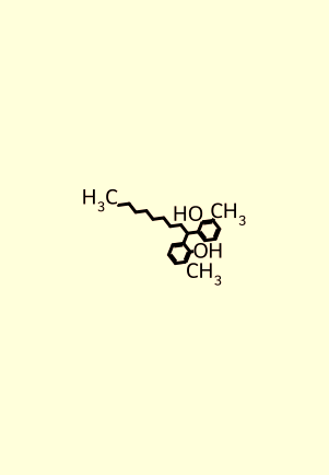 CCCCCCCCCC(c1cccc(C)c1O)c1cccc(C)c1O